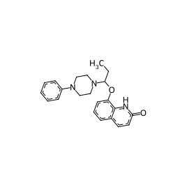 CCC(Oc1cccc2ccc(=O)[nH]c12)N1CCN(c2ccccc2)CC1